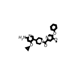 COc1cc(C(=O)N2CCC(c3cnc(N)cc3OC3CC3)CC2)ncc1Oc1ccccc1